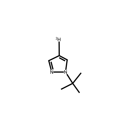 [2H]c1cnn(C(C)(C)C)c1